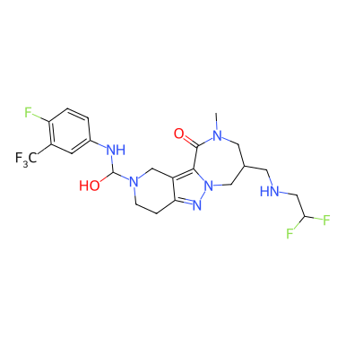 CN1CC(CNCC(F)F)Cn2nc3c(c2C1=O)CN(C(O)Nc1ccc(F)c(C(F)(F)F)c1)CC3